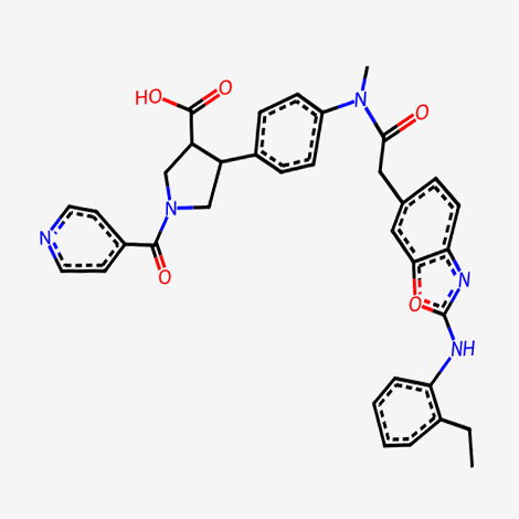 CCc1ccccc1Nc1nc2ccc(CC(=O)N(C)c3ccc(C4CN(C(=O)c5ccncc5)CC4C(=O)O)cc3)cc2o1